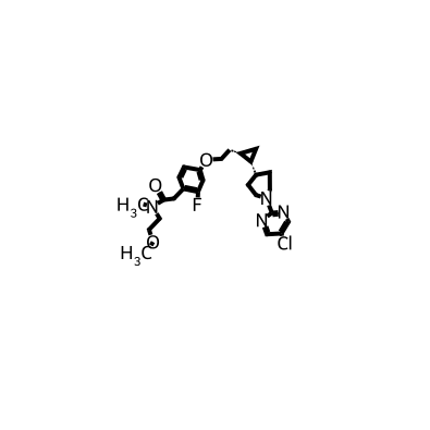 COCCN(C)C(=O)Cc1ccc(OCC[C@@H]2C[C@@H]2C2CCN(c3ncc(Cl)cn3)CC2)cc1F